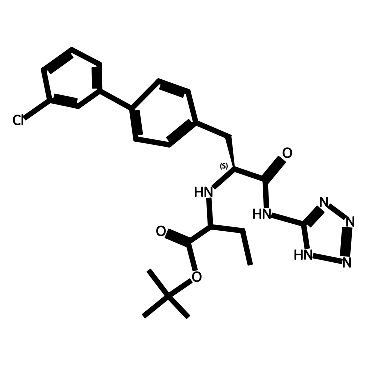 CCC(N[C@@H](Cc1ccc(-c2cccc(Cl)c2)cc1)C(=O)Nc1nnn[nH]1)C(=O)OC(C)(C)C